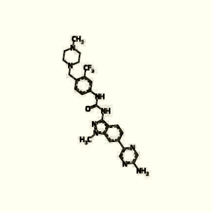 CN1CCN(Cc2ccc(NC(=O)Nc3nn(C)c4cc(-c5cnc(N)cn5)ccc34)cc2C(F)(F)F)CC1